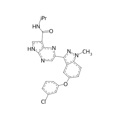 CC(C)NC(=O)c1c[nH]c2ncc(-c3nn(C)c4ccc(Oc5cccc(Cl)c5)cc34)nc12